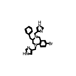 Brc1ccc2c(c1)CN(Cc1c[nH]cn1)C(Cc1ccccc1)CN2Cc1c[nH]cn1